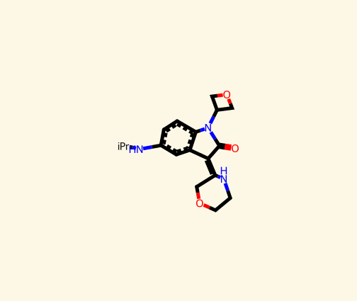 CC(C)Nc1ccc2c(c1)/C(=C1\COCCN1)C(=O)N2C1COC1